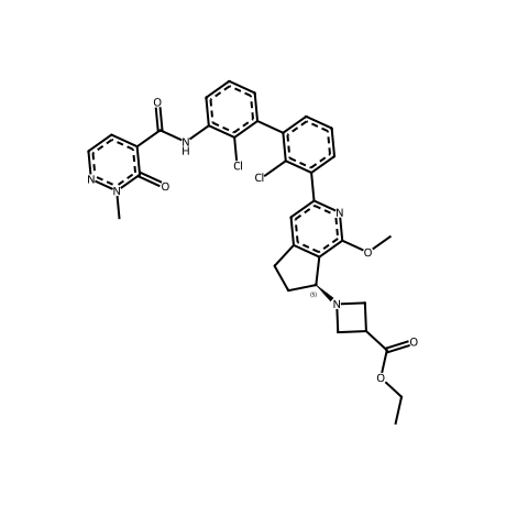 CCOC(=O)C1CN([C@H]2CCc3cc(-c4cccc(-c5cccc(NC(=O)c6ccnn(C)c6=O)c5Cl)c4Cl)nc(OC)c32)C1